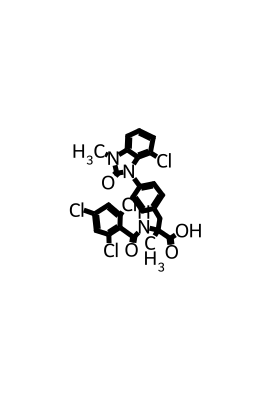 Cn1c(=O)n(-c2ccc(CC(C)(NC(=O)c3c(Cl)cc(Cl)cc3Cl)C(=O)O)cc2)c2c(Cl)cccc21